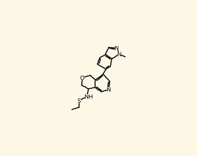 CCSNC1COCc2c(-c3ccc4cnn(C)c4c3)cncc21